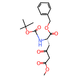 COC(=O)CC(=O)C[C@H](NC(=O)OC(C)(C)C)C(=O)OCc1ccccc1